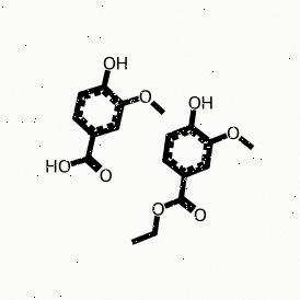 CCOC(=O)c1ccc(O)c(OC)c1.COc1cc(C(=O)O)ccc1O